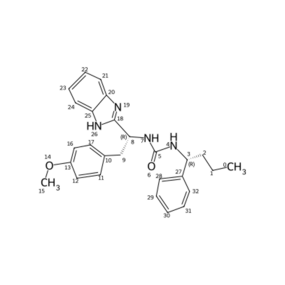 CCC[C@@H](NC(=O)N[C@H](Cc1ccc(OC)cc1)c1nc2ccccc2[nH]1)c1ccccc1